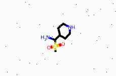 CS(=O)(=O)C(N)C1CCNCC1